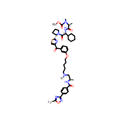 CCN(CCCCCOc1cccc(C(=O)c2csc([C@@H]3CCCN3C(=O)[C@@H](NC(=O)[C@H](C)N(C)C(=O)OC(C)(C)C)C3CCCCC3)n2)c1)C[C@@H](C)NC(=O)c1ccc(-c2noc(C(F)(F)F)n2)cc1